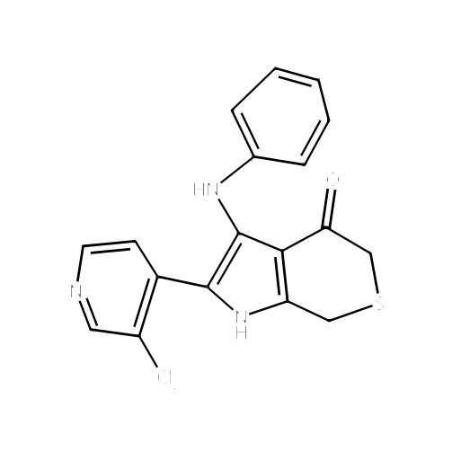 O=C1CSCc2[nH]c(-c3ccncc3Cl)c(Nc3ccccc3)c21